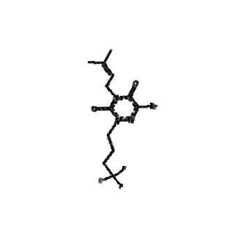 CC(C)=CCn1c(=O)c(Br)nn(CCCC(F)(F)F)c1=O